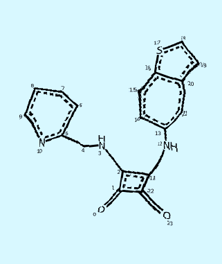 O=c1c(NCc2ccccn2)c(Nc2ccc3sccc3c2)c1=O